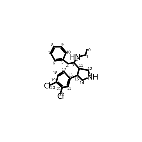 CCNC(Cc1ccccc1)C1CNCC1c1ccc(Cl)c(Cl)c1